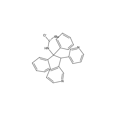 CC(C)(C)[S+]([O-])NC(c1ccccc1)(c1ccccc1)C(c1cccnc1)c1cccnc1